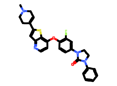 CN1CC=C(c2cc3nccc(Oc4ccc(N5CCN(c6ccccc6)C5=O)cc4F)c3s2)CC1